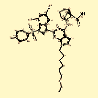 CCCCCCCCCn1ccc2c(NC3C4CCC(CC4)C3C(=O)O)nc(-c3cn(S(=O)(=O)c4ccc(C)cc4)c4c(F)cc(F)cc34)nc21